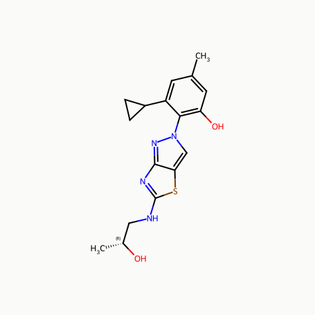 Cc1cc(O)c(-n2cc3sc(NC[C@@H](C)O)nc3n2)c(C2CC2)c1